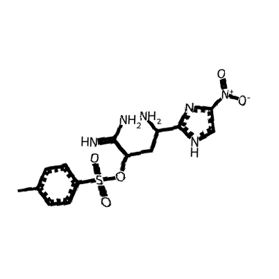 Cc1ccc(S(=O)(=O)OC(CC(N)c2nc([N+](=O)[O-])c[nH]2)C(=N)N)cc1